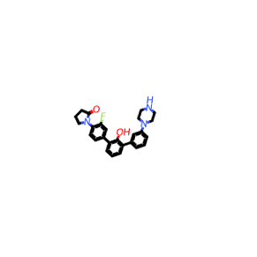 O=C1CCCN1c1ccc(-c2cccc(-c3cccc(N4CCNCC4)c3)c2O)cc1F